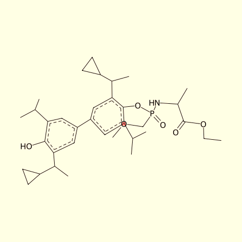 CCOC(=O)C(C)NP(=O)(COC)Oc1c(C(C)C)cc(-c2cc(C(C)C)c(O)c(C(C)C3CC3)c2)cc1C(C)C1CC1